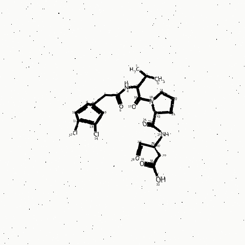 CC(C)C(NC(=O)Cc1ccc(Cl)c(Cl)c1)C(=O)N1CCCC1C(=O)N[C@H](C=O)CC(=O)O